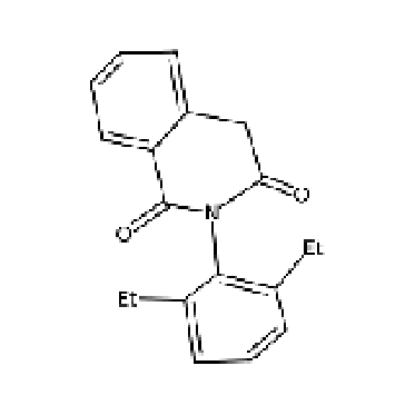 CCc1cccc(CC)c1N1C(=O)Cc2ccccc2C1=O